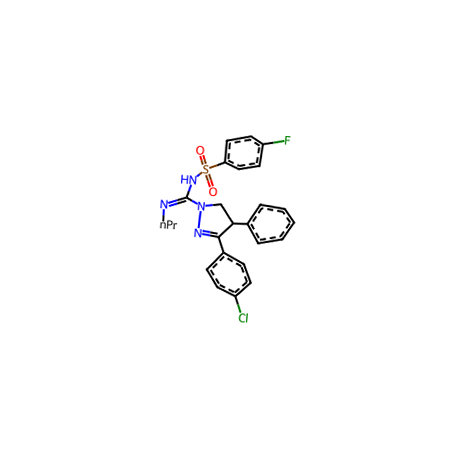 CCCN=C(NS(=O)(=O)c1ccc(F)cc1)N1CC(c2ccccc2)C(c2ccc(Cl)cc2)=N1